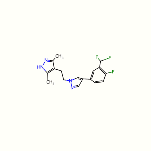 Cc1n[nH]c(C)c1CCn1cc(-c2ccc(F)c(C(F)F)c2)cn1